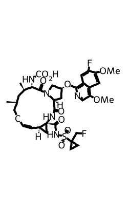 COc1cc2c(OC)cnc(O[C@@H]3C[C@H]4C(=O)N[C@]5(C(=O)NS(=O)(=O)C6(CF)CC6)C[C@H]5C=CCC[C@@H](C)C[C@@H](C)[C@H](NC(=O)O)C(=O)N4C3)c2cc1F